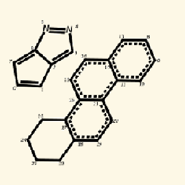 C1=CC2=CN=NC2=C1.c1ccc2c(c1)ccc1c3c(ccc12)CCCC3